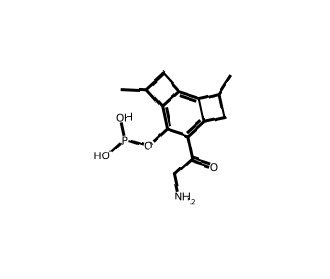 CC1Cc2c(C(=O)CN)c(OP(O)O)c3c(c21)CC3C